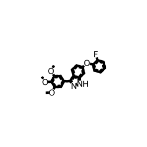 COc1cc(-c2n[nH]c3cc(Oc4ccccc4F)ccc23)cc(OC)c1OC